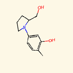 Cc1ccc(N2CCCC2CO)cc1O